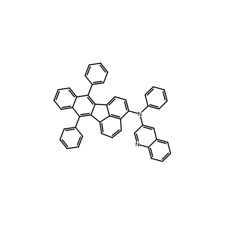 c1ccc(-c2c3c(c(-c4ccccc4)c4ccccc24)-c2ccc(N(c4ccccc4)c4cnc5ccccc5c4)c4cccc-3c24)cc1